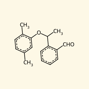 Cc1ccc(C)c(OC(C)c2ccccc2C=O)c1